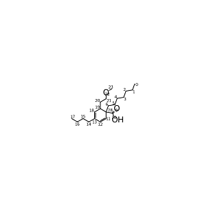 CCCCCCCC1(C(=O)O)C=CC(CCCC)=CC1CCOC